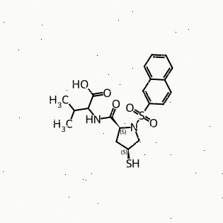 CC(C)C(NC(=O)[C@@H]1C[C@H](S)CN1S(=O)(=O)c1ccc2ccccc2c1)C(=O)O